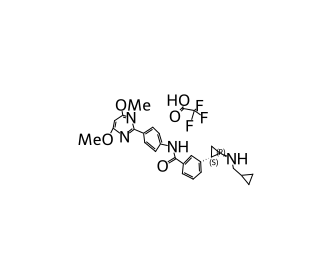 COc1cc(OC)nc(-c2ccc(NC(=O)c3cccc([C@@H]4C[C@H]4NCC4CC4)c3)cc2)n1.O=C(O)C(F)(F)F